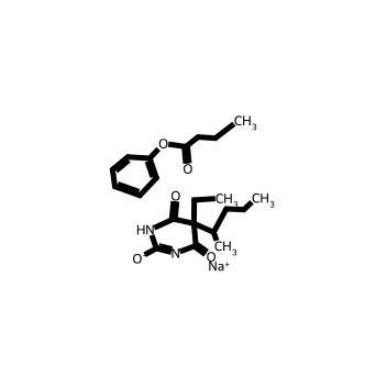 CCCC(=O)Oc1ccccc1.CCCC(C)C1(CC)C(=O)N=C([O-])NC1=O.[Na+]